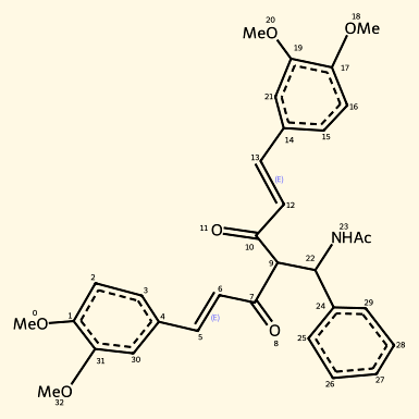 COc1ccc(/C=C/C(=O)C(C(=O)/C=C/c2ccc(OC)c(OC)c2)C(NC(C)=O)c2ccccc2)cc1OC